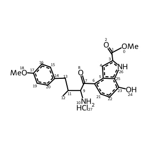 COC(=O)c1cc2c(C(=O)C(N)C(C)Cc3ccc(OC)cc3)ccc(O)c2[nH]1.Cl